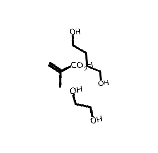 C=C(C)C(=O)O.OCCCCO.OCCO